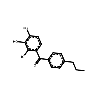 CCCc1ccc(C(=O)c2ccc(O)c(O)c2O)cc1